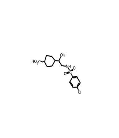 O=C(O)C1CCC(C(O)CNS(=O)(=O)c2ccc(Cl)cc2)CC1